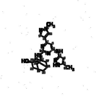 Cc1cc(Nc2cc(-c3cnn(C)c3)nc(NC34CC5CC(CC(O)(C5)C3)C4)n2)n[nH]1